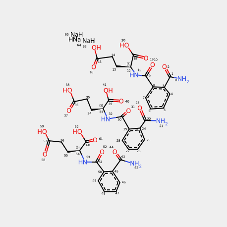 NC(=O)c1ccccc1C(=O)N[C@@H](CCC(=O)O)C(=O)O.NC(=O)c1ccccc1C(=O)N[C@@H](CCC(=O)O)C(=O)O.NC(=O)c1ccccc1C(=O)N[C@@H](CCC(=O)O)C(=O)O.[NaH].[NaH].[NaH]